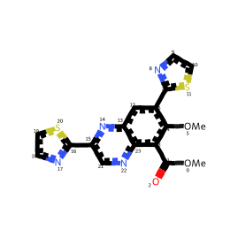 COC(=O)c1c(OC)c(-c2nccs2)cc2nc(-c3nccs3)cnc12